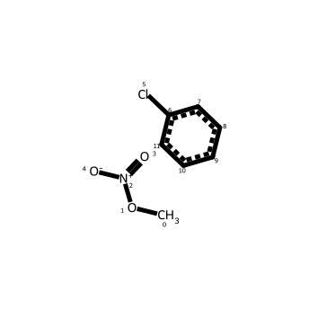 CO[N+](=O)[O-].Clc1ccccc1